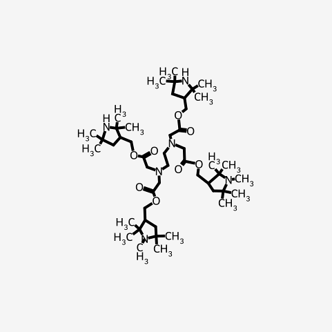 CN1C(C)(C)CC(COC(=O)CN(CCN(CC(=O)OCC2CC(C)(C)NC2(C)C)CC(=O)OCC2CC(C)(C)N(C)C2(C)C)CC(=O)OCC2CC(C)(C)NC2(C)C)C1(C)C